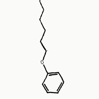 CCCCC[CH]Oc1ccccc1